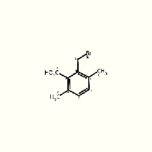 Cc1ccc(C)c(C(=O)O)c1CBr